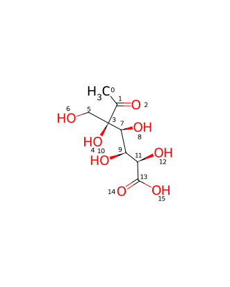 CC(=O)[C@@](O)(CO)[C@@H](O)[C@H](O)[C@@H](O)C(=O)O